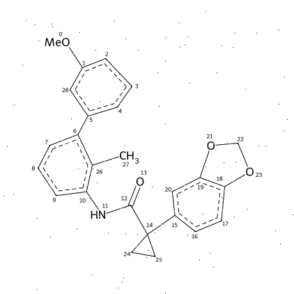 COc1cccc(-c2cccc(NC(=O)C3(c4ccc5c(c4)OCO5)CC3)c2C)c1